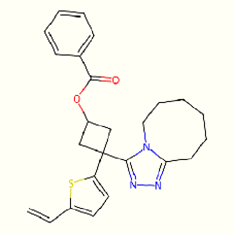 C=Cc1ccc(C2(c3nnc4n3CCCCCC4)CC(OC(=O)c3ccccc3)C2)s1